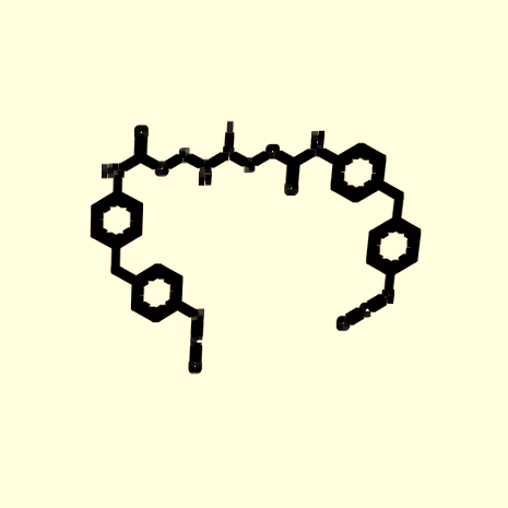 O=C=Nc1ccc(Cc2ccc(NC(=O)OSBP(I)SOC(=O)Nc3ccc(Cc4ccc(N=C=O)cc4)cc3)cc2)cc1